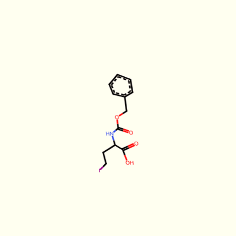 O=C(NC(CCI)C(=O)O)OCc1ccccc1